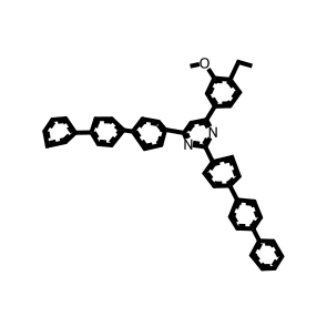 CCc1ccc(-c2cc(-c3ccc(-c4ccc(-c5ccccc5)cc4)cc3)nc(-c3ccc(-c4ccc(-c5ccccc5)cc4)cc3)n2)cc1OC